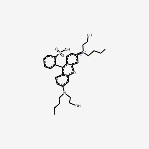 CCCCN(CCO)c1ccc2c(-c3ccccc3S(=O)(=O)O)c3cc/c(=[N+](\CCO)CCCC)cc-3oc2c1